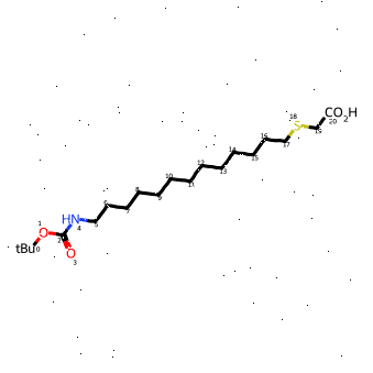 CC(C)(C)OC(=O)NCCCCCCCCCCCCCSCC(=O)O